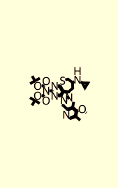 COc1c(C)cnc(Cn2nc3c4c(nc(N(C(=O)OC(C)(C)C)C(=O)OC(C)(C)C)nc42)SCC(NC2CC2)C3)c1C